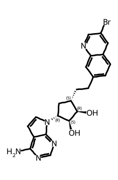 Nc1ncnc2c1ccn2[C@@H]1C[C@H](CCc2ccc3cc(Br)cnc3c2)[C@@H](O)[C@H]1O